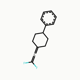 FC(F)=C=C1CCC(c2ccccc2)CC1